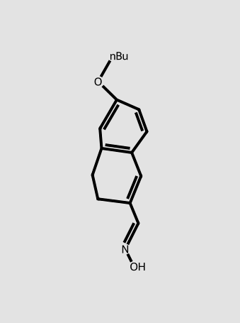 CCCCOc1ccc2c(c1)CCC(C=NO)=C2